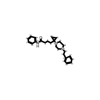 O=C(CCCC1(N2CCN(CCc3ccccc3)CC2)CC1)Nc1ccccc1